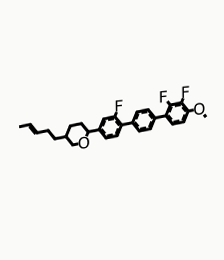 C/C=C/CCC1CCC(c2ccc(-c3ccc(-c4ccc(OC)c(F)c4F)cc3)c(F)c2)OC1